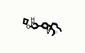 C/C=C\c1c(/C=C\CCC)c2ccc(C3=CNC(OC4CCC4)C=C3)cc2n1C